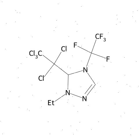 CCN1N=CN(C(F)(F)C(F)(F)F)C1C(Cl)(Cl)C(Cl)(Cl)Cl